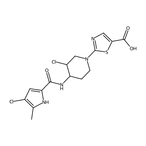 Cc1[nH]c(C(=O)NC2CCN(c3ncc(C(=O)O)s3)CC2Cl)cc1Cl